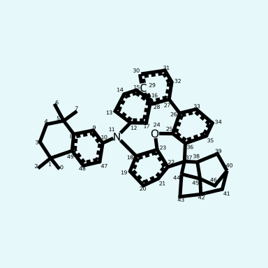 CC1(C)CCC(C)(C)c2cc(N(c3ccccc3)c3cccc4c3Oc3c(-c5ccccc5)cccc3C43C4CC5CC6CC3C64C5)ccc21